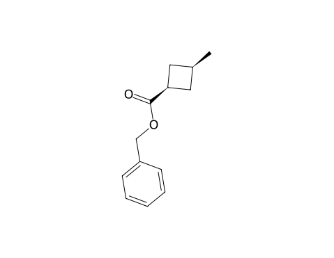 C[C@H]1C[C@@H](C(=O)OCc2ccccc2)C1